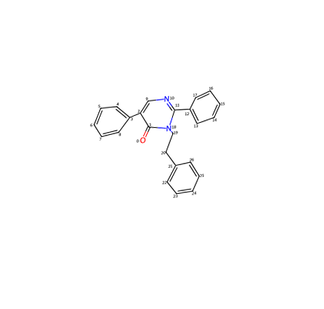 O=c1c(-c2ccccc2)cnc(-c2ccccc2)n1CCc1ccccc1